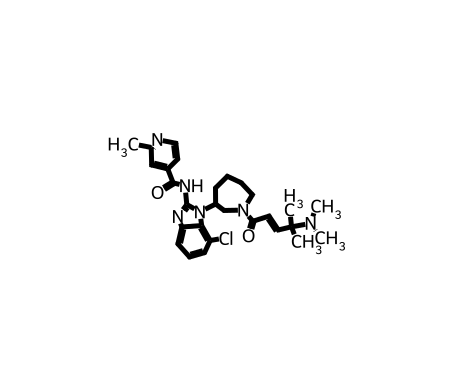 Cc1cc(C(=O)Nc2nc3cccc(Cl)c3n2C2CCCCN(C(=O)C=CC(C)(C)N(C)C)C2)ccn1